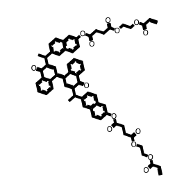 C=CC(=O)OCCOC(=O)CCC(=O)Oc1ccc2cc(C(C)C3=C/C(=C4/C=C(C(C)c5ccc6cc(OC(=O)CCC(=O)OCCOC(=O)C=C)ccc6c5)C(=O)c5ccccc54)c4ccccc4C3=O)ccc2c1